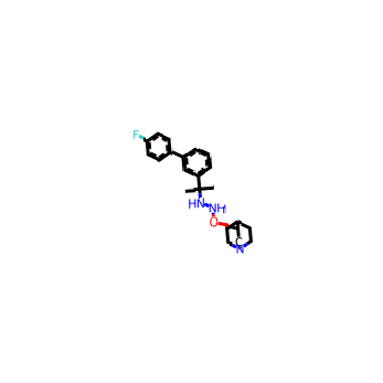 CC(C)(NNOC1CN2CCC1CC2)c1cccc(-c2ccc(F)cc2)c1